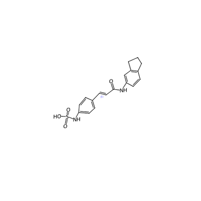 O=C(/C=C/c1ccc(NS(=O)(=O)O)cc1)Nc1ccc2c(c1)CCC2